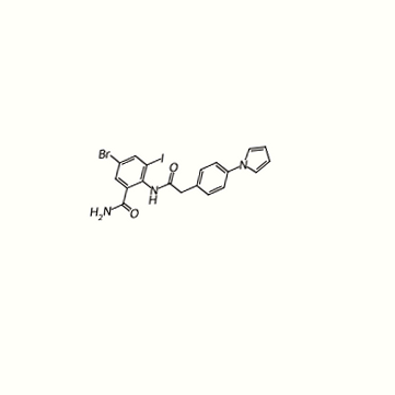 NC(=O)c1cc(Br)cc(I)c1NC(=O)Cc1ccc(-n2cccc2)cc1